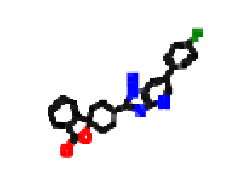 O=C1OC2(CCC(c3nc4ncc(-c5ccc(F)cc5)cc4[nH]3)CC2)c2ccccc21